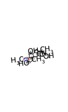 C/C=C/[C@H]1C2C[C@@H](O)C3C4CCC([C@H](C)OCO)[C@@]4(C)CCC3[C@@]2(C)CC[C@H]1O